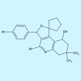 CC(C)c1ccc(C2OC3(CCCC3)c3c4c(nc(C(C)C)c32)CC(C)(C)CC4O)cc1